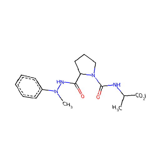 CC(NC(=O)N1CCCC1C(=O)NN(C)c1ccccc1)C(=O)O